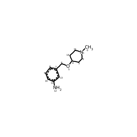 CN1CCC(OCc2cccc(N)c2)CC1